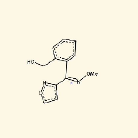 CO/N=C(/c1ccon1)c1ccccc1CO